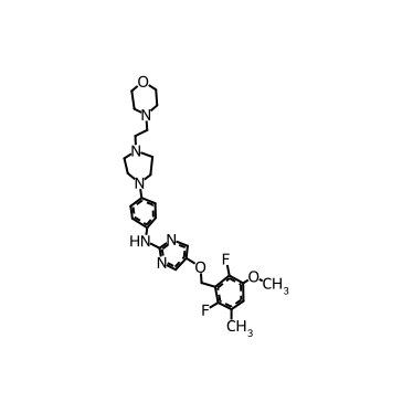 COc1cc(C)c(F)c(COc2cnc(Nc3ccc(N4CCN(CCN5CCOCC5)CC4)cc3)nc2)c1F